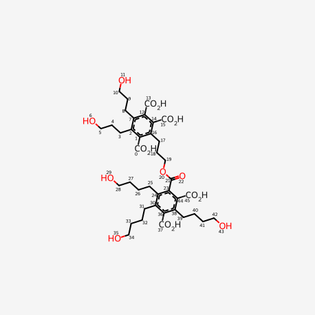 O=C(O)c1c(CCCO)c(CCCO)c(C(=O)O)c(C(=O)O)c1CCCOC(=O)c1c(CCCCO)c(CCCCO)c(C(=O)O)c(CCCCO)c1C(=O)O